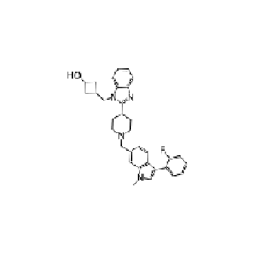 Cn1cc(-c2ccccc2F)c2ccc(CN3CCC(c4nc5ccccc5n4CC4CC(O)C4)CC3)cc21